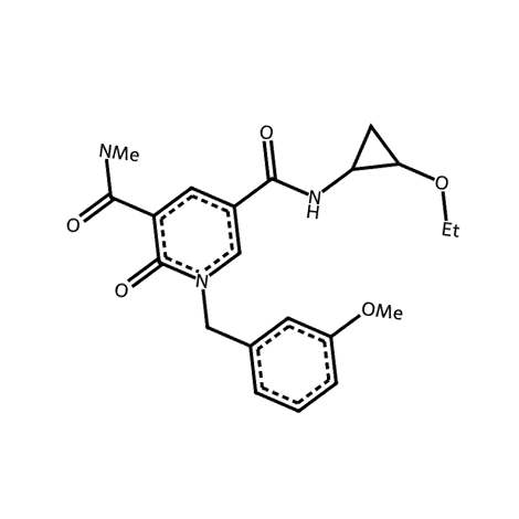 CCOC1CC1NC(=O)c1cc(C(=O)NC)c(=O)n(Cc2cccc(OC)c2)c1